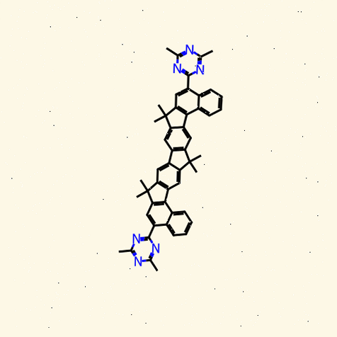 Cc1nc(C)nc(-c2cc3c(c4ccccc24)-c2cc4c(cc2C3(C)C)-c2cc3c(cc2C4(C)C)-c2c(cc(-c4nc(C)nc(C)n4)c4ccccc24)C3(C)C)n1